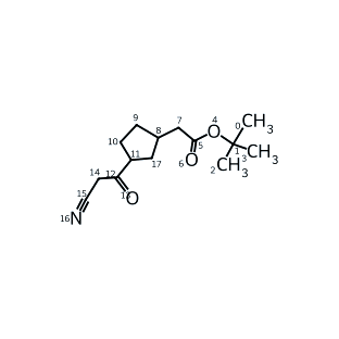 CC(C)(C)OC(=O)CC1CCC(C(=O)CC#N)C1